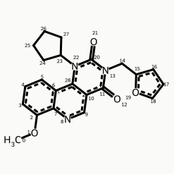 COc1cccc2c1ncc1c(=O)n(Cc3ccco3)c(=O)n(C3CCCC3)c12